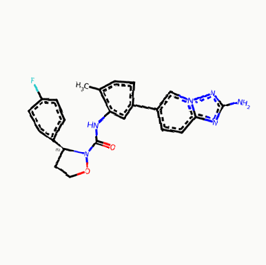 Cc1ccc(-c2ccc3nc(N)nn3c2)cc1NC(=O)N1OCC[C@H]1c1ccc(F)cc1